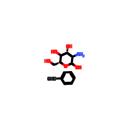 N[C@H]1C(O)O[C@H](CO)[C@@H](O)[C@@H]1O.O=Cc1ccccc1